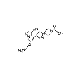 C#CC(=O)N1CCN(c2ccc(-c3cc(OCCN)cn4ncc(C#N)c34)cn2)CC1